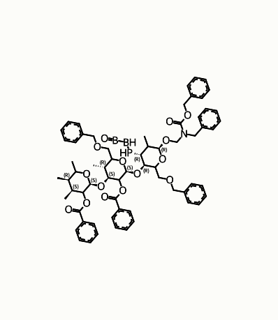 CC1[C@@H](OCN(Cc2ccccc2)C(=O)OCc2ccccc2)OC(COCc2ccccc2)[C@@H](O[C@@H]2OC(COCc3ccccc3)[C@@H](C)[C@H](O[C@@H]3OC(C)[C@H](C)[C@H](C)C3OC(=O)c3ccccc3)C2OC(=O)c2ccccc2)[C@@H]1PBB=O